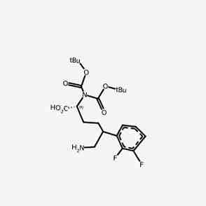 CC(C)(C)OC(=O)N(C(=O)OC(C)(C)C)[C@H](CCC(CN)c1cccc(F)c1F)C(=O)O